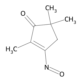 CC1=C(N=O)CC(C)(C)C1=O